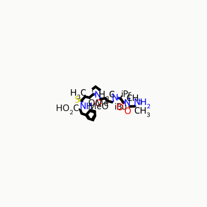 CC[C@H](C)[C@@H]([C@@H](CC(=O)N1CCC[C@H]1[C@H](OC)[C@@H](C)C(=S)N[C@@H](Cc1ccccc1)C(=O)O)OC)N(C)[C@H](C(=O)N(C)C(=O)[C@H](C)N)C(C)C